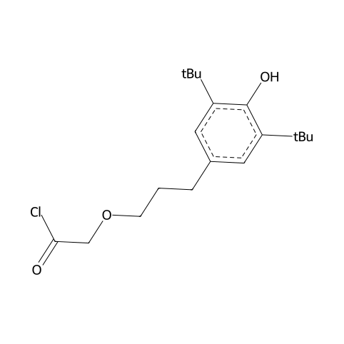 CC(C)(C)c1cc(CCCOCC(=O)Cl)cc(C(C)(C)C)c1O